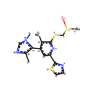 CCCC[S+]([O-])CSc1nc(-c2nccs2)cc(-c2c(C)ncn2C)c1C#N